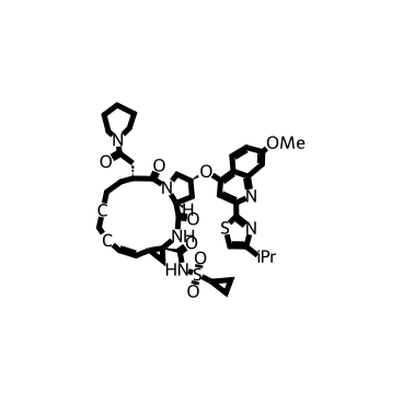 COc1ccc2c(O[C@@H]3C[C@H]4C(=O)N[C@]5(C(=O)NS(=O)(=O)C6CC6)CC5C=CCCCCC[C@H](CC(=O)N5CCCCC5)C(=O)N4C3)cc(-c3nc(C(C)C)cs3)nc2c1